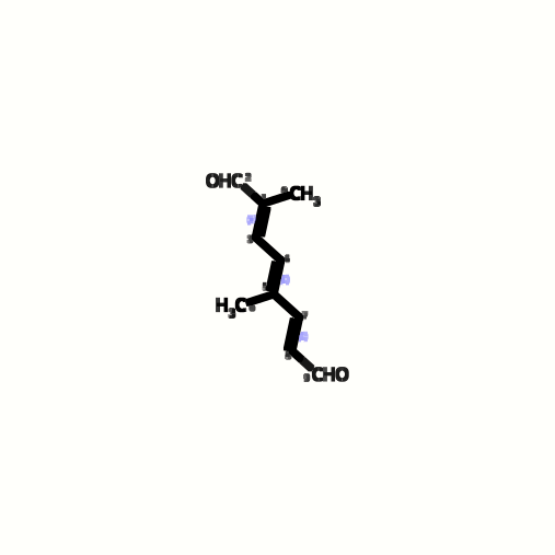 C\C(C=O)=C/C=C(C)/C=C/C=O